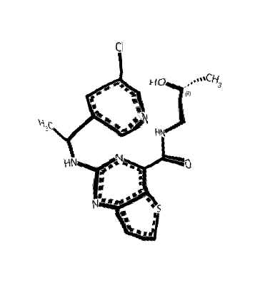 CC(Nc1nc(C(=O)NC[C@@H](C)O)c2sccc2n1)c1cncc(Cl)c1